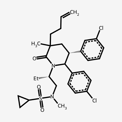 C=CCCC1(C)C[C@H](c2cccc(Cl)c2)C(c2ccc(Cl)cc2)N([C@@H](CC)CN(C)S(=O)(=O)C2CC2)C1=O